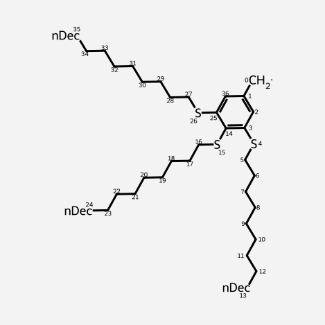 [CH2]c1cc(SCCCCCCCCCCCCCCCCCC)c(SCCCCCCCCCCCCCCCCCC)c(SCCCCCCCCCCCCCCCCCC)c1